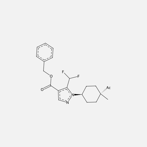 CC(=O)[C@]1(C)CC[C@@H](n2ncc(C(=O)OCc3ccccc3)c2C(F)F)CC1